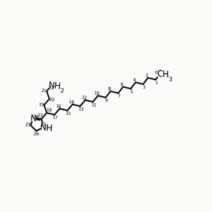 CCCCCCCCCCCCCCCCCCC(CCCN)C1=NCCN1